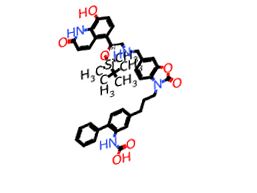 CC(C)(C)[Si](C)(C)O[C@H](CNCc1ccc2c(c1)oc(=O)n2CCCc1ccc(-c2ccccc2)c(NC(=O)O)c1)c1ccc(O)c2[nH]c(=O)ccc12